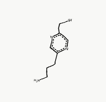 NCCCc1cnc(CS)cn1